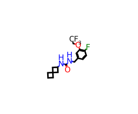 O=C(NCc1ccc(F)c(OCC(F)(F)F)c1)NC1CC2(CCC2)C1